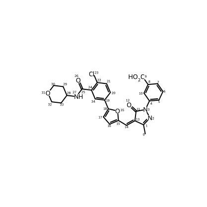 CC1=NN(c2cccc(C(=O)O)c2)C(=O)C1=Cc1ccc(-c2ccc(Cl)c(C(=O)NC3CCOCC3)c2)o1